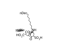 CCCCCCCCCCCCCCCCCCNC(=O)CC(C(=O)OCC(C(=O)O)C(=O)O)S(=O)(=O)O.[Na].[Na].[Na].[Na]